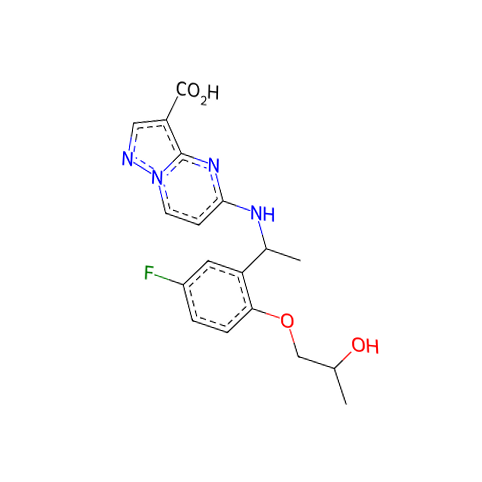 CC(O)COc1ccc(F)cc1C(C)Nc1ccn2ncc(C(=O)O)c2n1